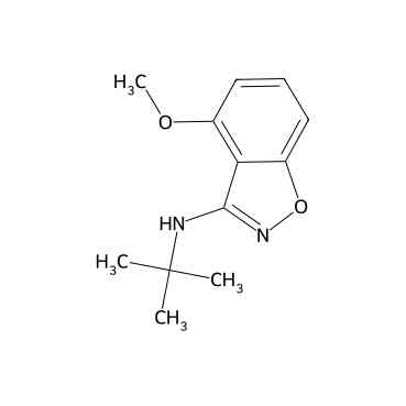 COc1cccc2onc(NC(C)(C)C)c12